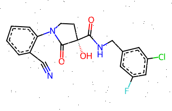 N#Cc1ccccc1N1CC[C@@](O)(C(=O)NCc2cc(F)cc(Cl)c2)C1=O